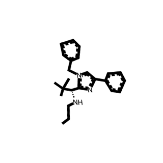 CCCN[C@@H](c1nc(-c2ccccc2)cn1Cc1ccccc1)C(C)(C)C